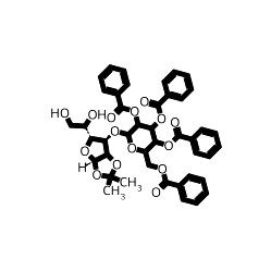 CC1(C)OC2[C@H](O[C@H](C(O)CO)[C@H]2OC2OC(COC(=O)c3ccccc3)C(OC(=O)c3ccccc3)C(OC(=O)c3ccccc3)C2OC(=O)c2ccccc2)O1